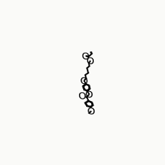 C=CC(=O)OCCCCCCOc1ccc(OC(=O)c2ccc(OC)cc2)cc1